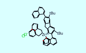 CC(C)(C)c1cc2c(cc1-c1cccc3ccccc13)Cc1c-2cc(C(C)(C)C)c(-c2cccc3ccccc23)[c]1[Zr+2](=[C](Cc1ccccc1)Cc1ccccc1)[CH]1C=CC=C1.[Cl-].[Cl-]